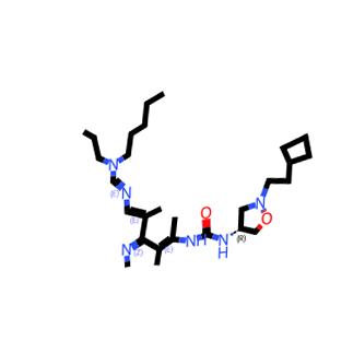 CCCCCN(/C=N/C=C(C)/C(=N/C)C(/C)=C(\C)NC(=O)N[C@H]1CON(CCC2CCC2)C1)CCC